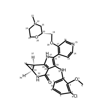 COc1c(Cl)cccc1Nc1c(-c2ccncc2OC[C@H]2CN(C)CCO2)[nH]c2c1C(=O)N[C@H]1C[C@@H]21